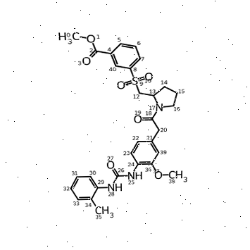 COC(=O)c1cccc(S(=O)(=O)CC2CCCN2C(=O)Cc2ccc(NC(=O)Nc3ccccc3C)c(OC)c2)c1